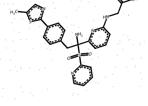 Cc1cnc(-c2ccc(CC(N)(c3cccc(NCC(=O)O)n3)S(=O)(=O)c3ccccn3)cc2)s1